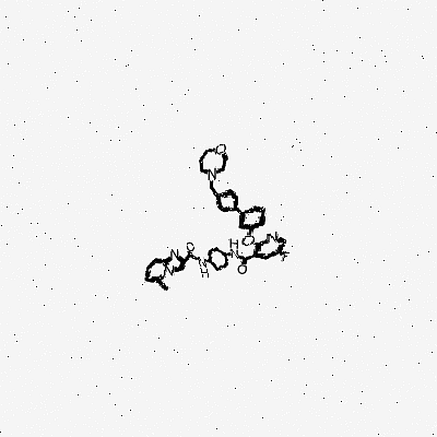 Cc1cccc2nc(C(=O)NC3CCC(NC(=O)c4cc(F)cnc4Oc4cccc(-c5ccc(CN6CCCOCC6)cc5)c4)CC3)cn12